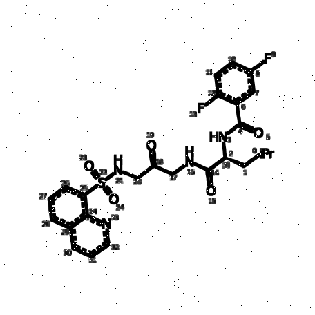 CC(C)C[C@H](NC(=O)c1cc(F)ccc1F)C(=O)NCC(=O)CNS(=O)(=O)c1cccc2cccnc12